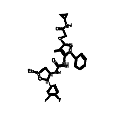 CCN1C[C@@H](NC(=O)Nc2c(C)c(OCC(=O)NC3CC3)nn2-c2ccccc2)[C@H](c2ccc(F)c(F)c2)O1